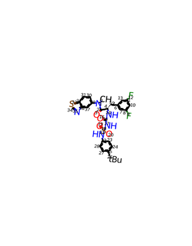 CN(C(=O)[C@H](Cc1cc(F)cc(F)c1)NC(=O)NS(=O)(=O)Nc1ccc(C(C)(C)C)cc1)c1ccc2scnc2c1